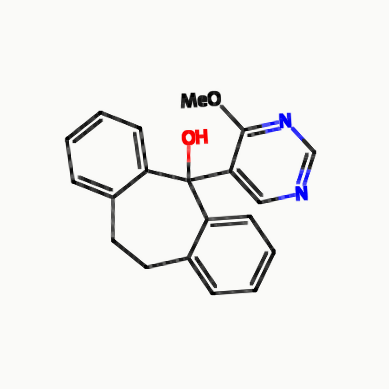 COc1ncncc1C1(O)c2ccccc2CCc2ccccc21